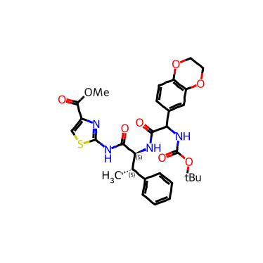 COC(=O)c1csc(NC(=O)[C@@H](NC(=O)C(NC(=O)OC(C)(C)C)c2ccc3c(c2)OCCO3)[C@@H](C)c2ccccc2)n1